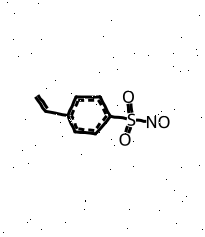 C=Cc1ccc(S(=O)(=O)N=O)cc1